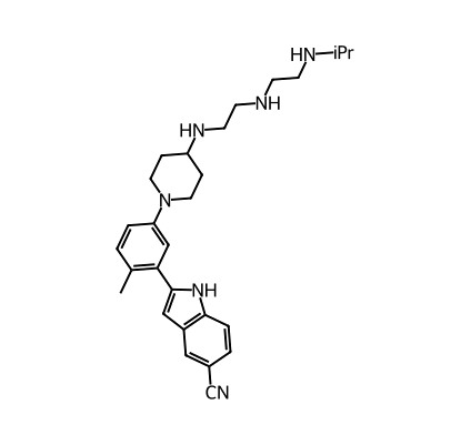 Cc1ccc(N2CCC(NCCNCCNC(C)C)CC2)cc1-c1cc2cc(C#N)ccc2[nH]1